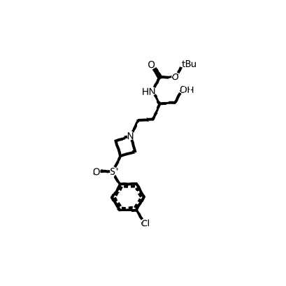 CC(C)(C)OC(=O)NC(CO)CCN1CC([S+]([O-])c2ccc(Cl)cc2)C1